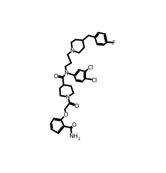 NC(=O)c1ccccc1OCC(=O)N1CCC(C(=O)N(CCCN2CCC(Cc3ccc(F)cc3)CC2)c2ccc(Cl)c(Cl)c2)CC1